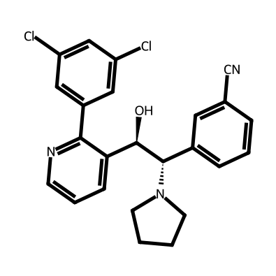 N#Cc1cccc([C@@H]([C@H](O)c2cccnc2-c2cc(Cl)cc(Cl)c2)N2CCCC2)c1